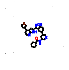 O=C(Nc1cncc(-c2ccc3[nH]nc(-c4cc5c(-c6ccsc6)ccnc5[nH]4)c3c2)c1)C1CCCCC1